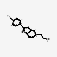 OCCc1ccc2[nH]c(-c3ccc(F)cc3)[c]c2c1